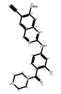 C#Cc1cc2cnc(Nc3ccc(C(=O)N4CCOCC4)c(Cl)c3)nc2cc1OC